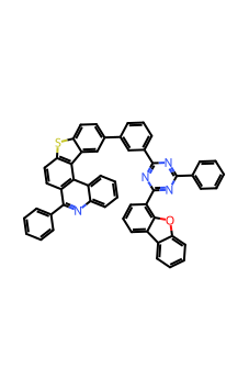 c1ccc(-c2nc(-c3cccc(-c4ccc5sc6ccc7c(-c8ccccc8)nc8ccccc8c7c6c5c4)c3)nc(-c3cccc4c3oc3ccccc34)n2)cc1